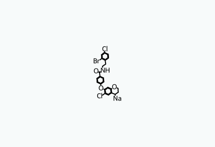 O=C(NCCc1ccc(Cl)cc1Br)c1ccc(Oc2cc3c(cc2Cl)[CH]([Na])CCO3)cc1